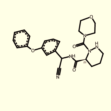 N#CC(NC(=O)[C@@H]1CCCNN1C(=O)N1CCOCC1)c1cccc(Oc2ccccc2)c1